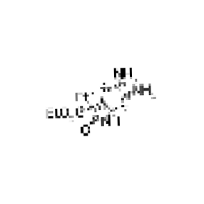 CCOC(=O)C1(CC)C(=O)Nc2cc(N)c(N)cc21